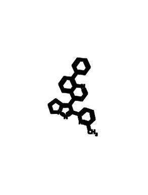 Cc1cccc(-c2nn3c(c2-c2ccnc4c(-c5ccccc5)cccc24)CCC3)n1